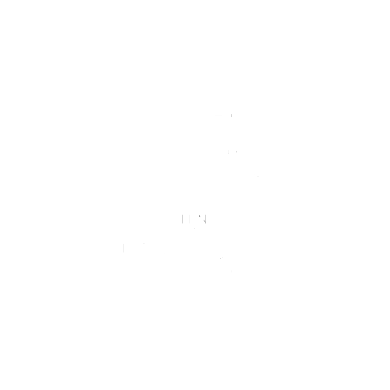 CCOC(=O)Cc1cccc(C(=S)c2ccc(C)cc2)c1N